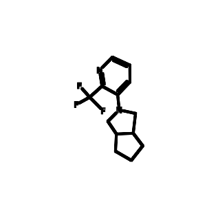 FC(F)(F)c1ncccc1N1CC2CCCC2C1